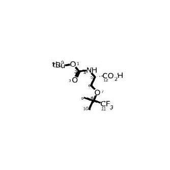 CC(C)(C)OC(=O)N[C@@H](COC(C)(C)C(F)(F)F)C(=O)O